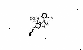 C=CCO[C@@H]1C[C@H]2C[C@@H]1N(C(=O)O)[C@@H]2C(=O)N1CCC[C@H]1C#N